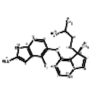 Cc1cc2c(F)c(OC3=C4N(C=C[C@@]4(C)OCC(C)N)NC=N3)cnc2[nH]1